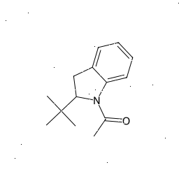 CC(=O)N1c2ccccc2CC1C(C)(C)C